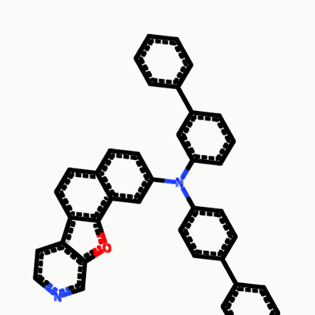 c1ccc(-c2ccc(N(c3cccc(-c4ccccc4)c3)c3ccc4ccc5c6ccncc6oc5c4c3)cc2)cc1